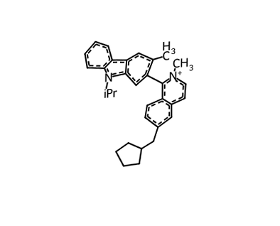 Cc1cc2c3ccccc3n(C(C)C)c2cc1-c1c2ccc(CC3CCCC3)cc2cc[n+]1C